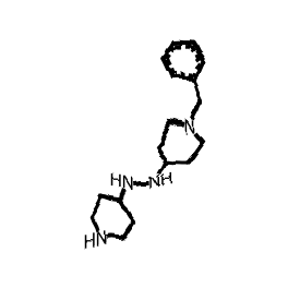 c1ccc(CN2CCC(NNC3CCNCC3)CC2)cc1